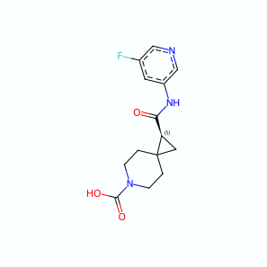 O=C(Nc1cncc(F)c1)[C@H]1CC12CCN(C(=O)O)CC2